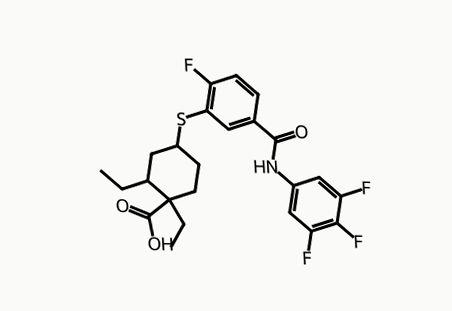 CCC1CC(Sc2cc(C(=O)Nc3cc(F)c(F)c(F)c3)ccc2F)CCC1(CC)C(=O)O